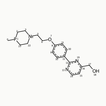 CP1CCN(CCOc2ccc(-c3nccc(CO)n3)cc2)CC1